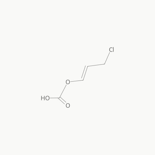 O=C(O)OC=CCCl